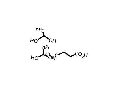 CCCC(O)O.CCCC(O)O.O=C(O)CCC(=O)O